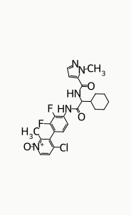 Cc1c(-c2ccc(NC(=O)C(NC(=O)c3ccnn3C)C3CCCCC3)c(F)c2F)c(Cl)cc[n+]1[O-]